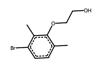 Cc1[c]cc(Br)c(C)c1OCCO